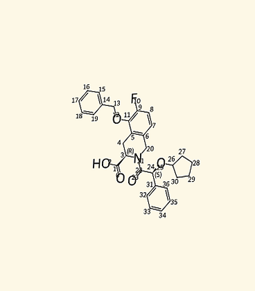 O=C(O)[C@H]1Cc2c(ccc(F)c2OCc2ccccc2)CN1C(=O)[C@@H](OC1CCCC1)c1ccccc1